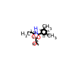 C=CC(=O)NC(OCC1CO1)c1cc(C)cc(C)c1